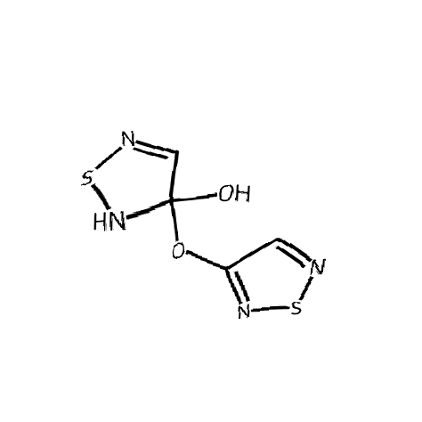 OC1(Oc2cnsn2)C=NSN1